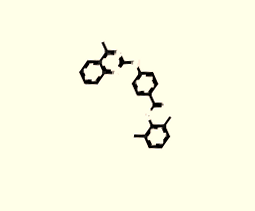 Cc1cccc(C)c1NC(=O)c1ccc(Nc2nc(C)c3ccccc3n2)cc1